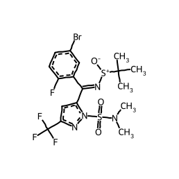 CN(C)S(=O)(=O)n1nc(C(F)(F)F)cc1/C(=N/[S+]([O-])C(C)(C)C)c1cc(Br)ccc1F